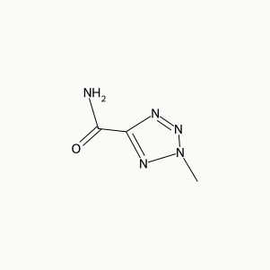 Cn1nnc(C(N)=O)n1